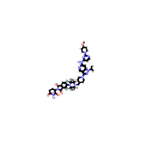 [2H]C1([2H])N(CC2CCN(c3nn(C(C)C)c4cc(Nc5ccnc(N6CCC(OC)CC6)n5)ncc34)CC2)C([2H])([2H])C([2H])([2H])N(c2c(F)cc3c(c2F)C(=O)N(C2CCC(=O)NC2=O)C3=O)C1([2H])[2H]